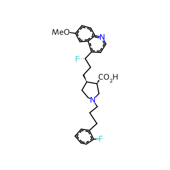 COc1ccc2nccc([C@@H](F)CC[C@@H]3CCN(CCCc4ccccc4F)C[C@@H]3C(=O)O)c2c1